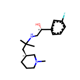 CN1CCC[C@@H](CC(C)(C)NC[C@H](O)c2cccc(F)c2)C1